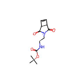 CC(C)(C)OC(=O)NCCN1C(=O)C2C=CC2C1=O